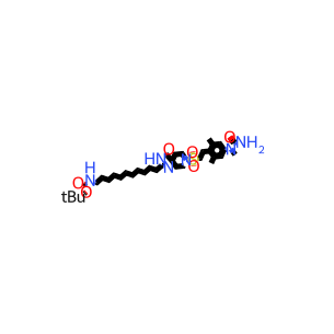 Cc1cc(N(C)C(N)=O)cc(C)c1CCS(=O)(=O)N1CCC2(CC1)N=C(CCCCCCCCCCCNC(=O)OC(C)(C)C)NC2=O